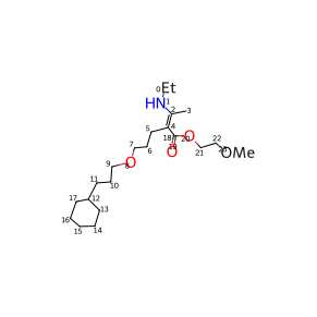 CCN/C(C)=C(\CCCOCCCC1CCCCC1)C(=O)OCCOC